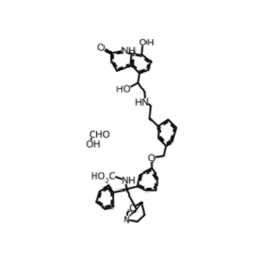 O=C(O)NC(c1ccccc1)(c1cccc(OCc2cccc(CCNCC(O)c3ccc(O)c4[nH]c(=O)ccc34)c2)c1)C1CN2CCC1CC2.O=CO